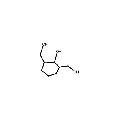 OCC1CCCC(CO)C1O